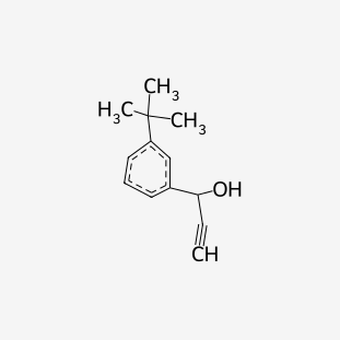 C#CC(O)c1cccc(C(C)(C)C)c1